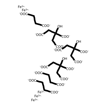 O=C([O-])CC(O)(CC(=O)[O-])C(=O)[O-].O=C([O-])CC(O)(CC(=O)[O-])C(=O)[O-].O=C([O-])CC(O)(CC(=O)[O-])C(=O)[O-].O=C([O-])CCC(=O)[O-].O=C([O-])CCC(=O)[O-].O=C([O-])CCC(=O)[O-].[Fe+3].[Fe+3].[Fe+3].[Fe+3].[Fe+3]